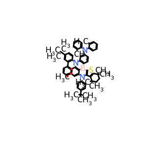 Cc1cc2c3c(c1)N(c1ccc(C(C)(C)C)cc1)c1c(sc4c1C(C)(C)CCC4(C)C)B3c1ccc(N(c3ccccc3C)c3ccccc3C)cc1N2c1ccc(C(C)(C)C)cc1-c1ccccc1